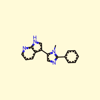 Cn1c(-c2c[nH]c3ncccc23)cnc1-c1ccccc1